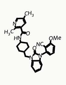 COc1cccc(-n2c(=O)n(CC3CCC(NC(=O)c4cc(C)cnc4C)CC3)c3ccccc32)c1C#N